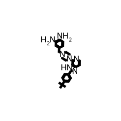 CC(C)(C)c1ccc(-c2nc3ccnc(N4CCN(Cc5ccc(N)c(N)c5)CC4)c3[nH]2)cc1